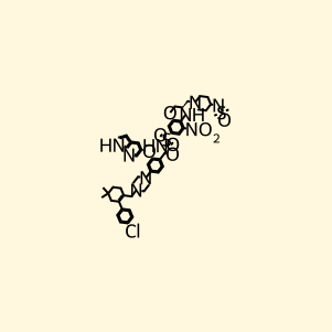 CC1(C)CCC(CN2CCN(c3ccc(C(=O)NS(=O)(=O)c4cc5c(c([N+](=O)[O-])c4)N[C@H](CN4CCC(N=S(C)(C)=O)CC4)CO5)c(Oc4cnc5[nH]ccc5c4)c3)CC2)=C(c2ccc(Cl)cc2)C1